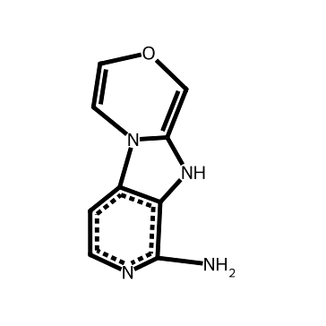 Nc1nccc2c1NC1=COC=CN12